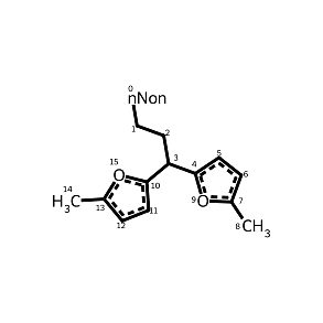 CCCCCCCCCCCC(c1ccc(C)o1)c1ccc(C)o1